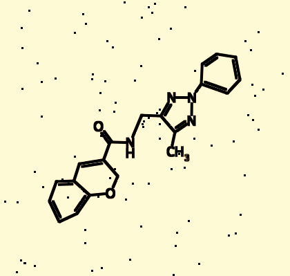 Cc1nn(-c2ccccc2)nc1CNC(=O)C1=Cc2ccccc2OC1